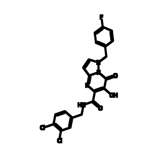 O=C(NCc1ccc(Cl)c(Cl)c1)c1nc2ccn(Cc3ccc(F)cc3)n2c(=O)c1O